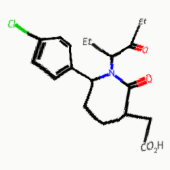 CCC(=O)C(CC)N1C(=O)C(CC(=O)O)CCC1c1ccc(Cl)cc1